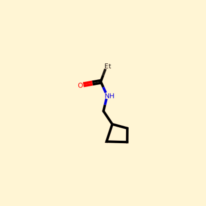 CCC(=O)NCC1CCC1